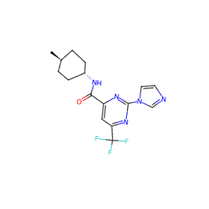 C[C@H]1CC[C@H](NC(=O)c2cc(C(F)(F)F)nc(-n3ccnc3)n2)CC1